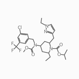 CCC1CC(N(Cc2cc(Cl)cc(C(F)(F)F)c2)C(=O)OC)CC(Cc2ccn(CC)n2)N1C(=O)OC(C)C